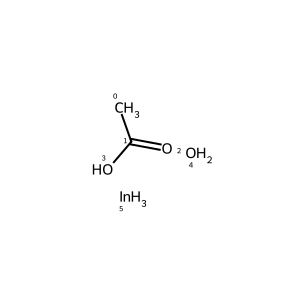 CC(=O)O.O.[InH3]